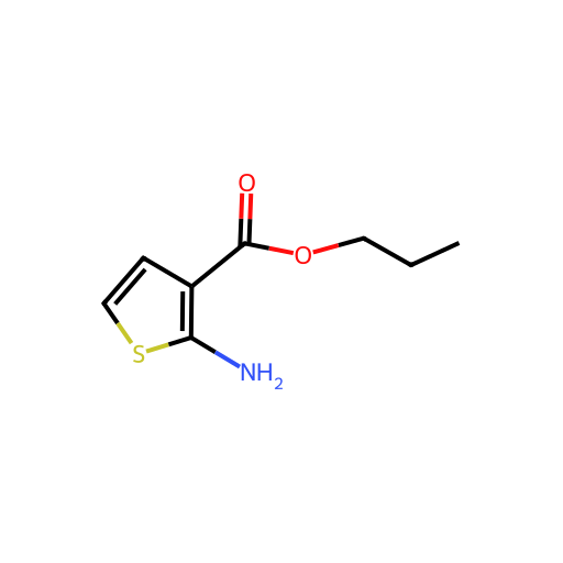 CCCOC(=O)c1ccsc1N